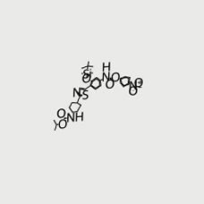 CC(C)OC(=O)NC1CCC(c2ncc(-c3ccc(NC(=O)Oc4ccc([N+](=O)[O-])cc4)cc3O[Si](C)(C)C(C)(C)C)s2)CC1